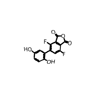 O=C1OC(=O)c2c(F)c(-c3cc(O)ccc3O)cc(F)c21